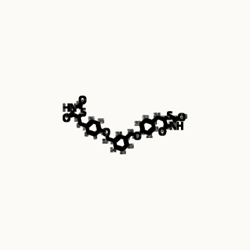 O=C1NC(=O)C(Cc2ccc(OCc3cccc(COc4ccc(CC5SC(=O)NC5=O)cc4)c3)cc2)S1